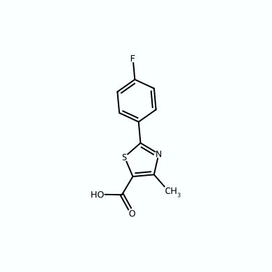 Cc1nc(-c2ccc(F)cc2)sc1C(=O)O